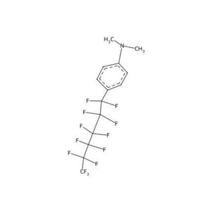 CN(C)c1ccc(C(F)(F)C(F)(F)C(F)(F)C(F)(F)C(F)(F)C(F)(F)F)cc1